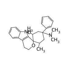 CC1CC(c2ccccc2)(N(C)C)CC(C)C12OCCc1c2[nH]c2ccccc12